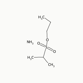 CCCOS(=O)(=O)C(C)C.N